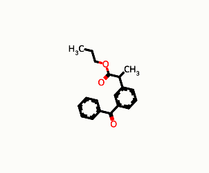 CCCOC(=O)C(C)c1cccc(C(=O)c2ccccc2)c1